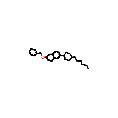 CCCCCCC1CC=C(c2ccc3cc(OCc4ccccc4)ccc3c2)CC1